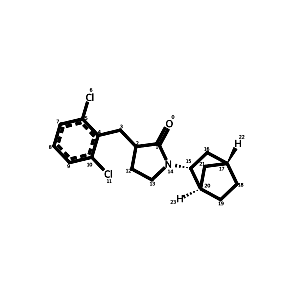 O=C1C(Cc2c(Cl)cccc2Cl)CCN1[C@@H]1C[C@@H]2CC[C@@H]1C2